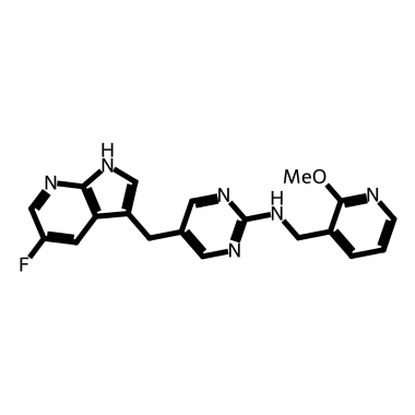 COc1ncccc1CNc1ncc(Cc2c[nH]c3ncc(F)cc23)cn1